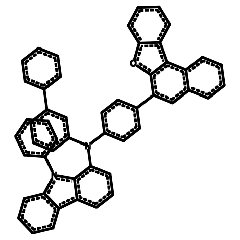 c1ccc(-c2cccc(N(c3ccc(-c4cc5ccccc5c5c4oc4ccccc45)cc3)c3cccc4c5ccccc5n(-c5ccccc5)c34)c2)cc1